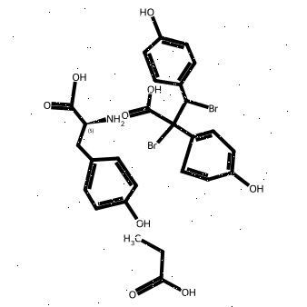 CCC(=O)O.N[C@@H](Cc1ccc(O)cc1)C(=O)O.O=C(O)C(Br)(c1ccc(O)cc1)C(Br)c1ccc(O)cc1